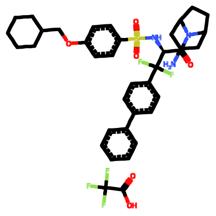 NC1CC2CCC(C1)N2C(=O)[C@H](NS(=O)(=O)c1ccc(OCC2CCCCC2)cc1)C(F)(F)c1ccc(-c2ccccc2)cc1.O=C(O)C(F)(F)F